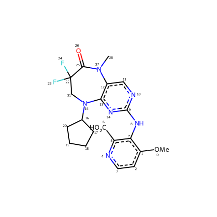 COc1ccnc(C(=O)O)c1Nc1ncc2c(n1)N(C1CCCC1)CC(F)(F)C(=O)N2C